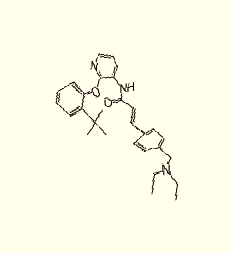 CCN(CC)Cc1ccc(C=CC(=O)Nc2cccnc2Oc2ccccc2C(C)(C)C)cc1